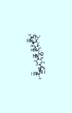 COc1cc2cc(C(=O)Nc3ccc(/C(C)=N/NC(C)=N)cc3)[nH]c2cc1NC(C)=O